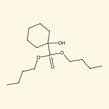 CCCCOP(=O)(OCCCC)C1(O)CCCCC1